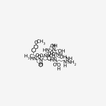 COc1ccc2cc(C(C)C(=O)NC(Cc3ccccc3)C(=O)NC(Cc3ccccc3)C(=O)NCC(=O)N[C@@H](CO)C(=O)NC(CO)C(=O)NC(CO)C(=O)NC(CCCNC(=N)N)C(=O)O)ccc2c1